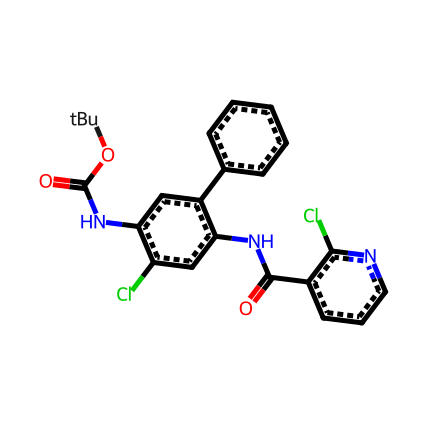 CC(C)(C)OC(=O)Nc1cc(-c2ccccc2)c(NC(=O)c2cccnc2Cl)cc1Cl